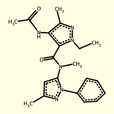 CCn1nc(C)c(NC(C)=O)c1C(=O)N(C)c1cc(C)nn1-c1ccccc1